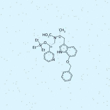 CC[Si](CC)(CC)O[C@H](CN(C(=O)O)[C@H](C)Cc1c[nH]c2c(OCc3ccccc3)cccc12)c1cccnc1